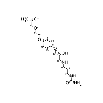 CC(C)COCCOc1ccc(OCC(O)CNCCCNC(N)=O)cc1